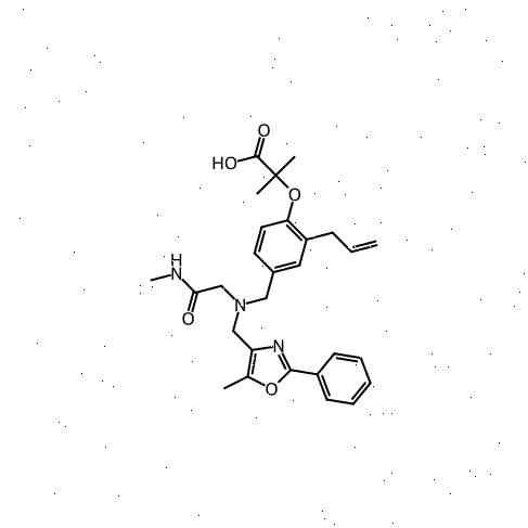 C=CCc1cc(CN(CC(=O)NC)Cc2nc(-c3ccccc3)oc2C)ccc1OC(C)(C)C(=O)O